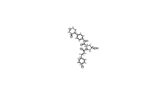 O=C(Nc1ccc(N2CCOCC2=O)cc1)[C@H]1C[C@@H](O)CN1C(=O)/C=C/c1ccc(Cl)cc1